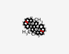 Cc1ccc2c(N(c3cccc4ccccc34)c3cccc4ccccc34)c3cc(C)c(C)cc3c(N(c3cccc4ccccc34)c3cccc4ccccc34)c2c1